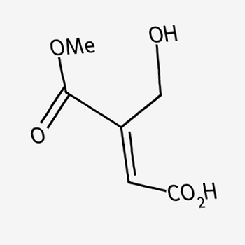 COC(=O)/C(=C/C(=O)O)CO